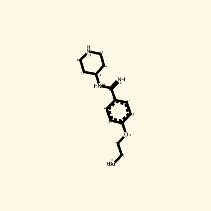 CC(C)(C)CCOc1ccc(C(=N)NC2CCNCC2)cc1